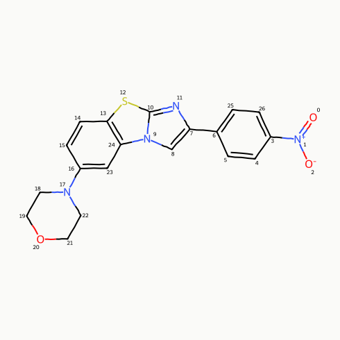 O=[N+]([O-])c1ccc(-c2cn3c(n2)sc2ccc(N4CCOCC4)cc23)cc1